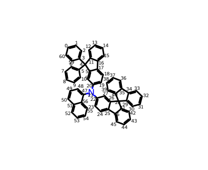 c1ccc(C2(c3ccccc3)c3ccccc3-c3ccc(N(c4ccc5c(c4)C4(c6ccccc6-c6ccccc64)c4ccccc4-5)c4cccc5ccccc45)cc32)cc1